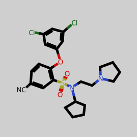 N#Cc1ccc(Oc2cc(Cl)cc(Cl)c2)c(S(=O)(=O)N(CCN2CCCC2)C2CCCC2)c1